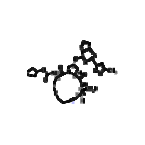 Cc1cc(-c2nc(O[C@@H]3C[C@H]4C(=O)N[C@]5(C(=O)O)C[C@H]5/C=C\CCCCC[C@H](NC(=O)OC5CCCC5)C(=O)N4C3)c3sccc3n2)no1